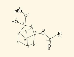 CCCCOC1(O)C2CC3CC1C(OC(=O)CC)(C3)C2